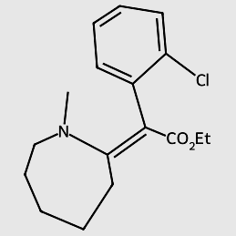 CCOC(=O)C(=C1CCCCCN1C)c1ccccc1Cl